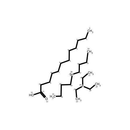 CCCCCCCCCCCC(=O)O.CCC[CH2][Sn][CH2]CCC.CCP(CC)CC